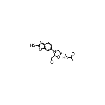 CC(=O)NC[C@H]1CN(c2ccc3nc(S)oc3c2)C(C=O)O1